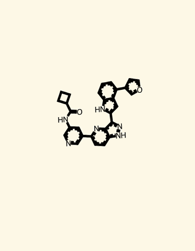 O=C(Nc1cncc(-c2ccc3[nH]nc(-c4cc5c(-c6ccoc6)cccc5[nH]4)c3n2)c1)C1CCC1